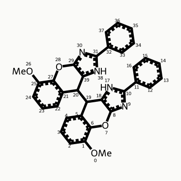 COc1cccc2c1Oc1nc(-c3ccccc3)[nH]c1C2C1c2cccc(OC)c2Oc2nc(-c3ccccc3)[nH]c21